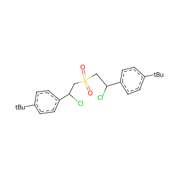 CC(C)(C)c1ccc(C(Cl)CS(=O)(=O)CC(Cl)c2ccc(C(C)(C)C)cc2)cc1